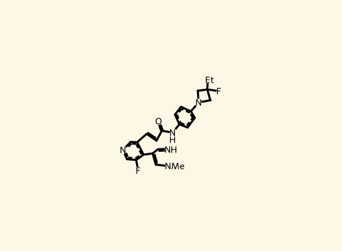 CCC1(F)CN(c2ccc(NC(=O)/C=C/c3cncc(F)c3/C(C=N)=C/NC)cc2)C1